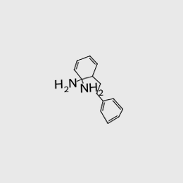 NC1(N)C=CC=CC1CCc1ccccc1